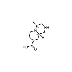 C[C@H]1CNC[C@@H]2CN(C(=O)O)CCN21